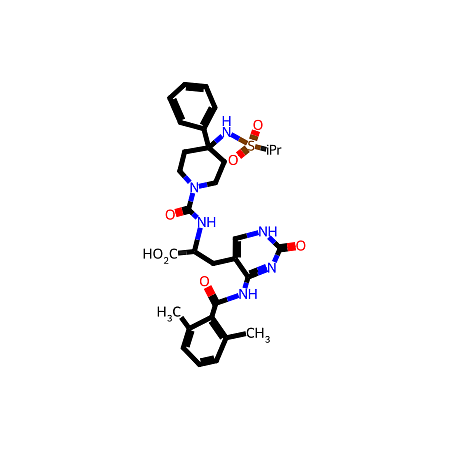 Cc1cccc(C)c1C(=O)Nc1nc(=O)[nH]cc1CC(NC(=O)N1CCC(NS(=O)(=O)C(C)C)(c2ccccc2)CC1)C(=O)O